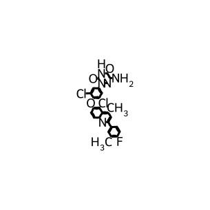 Cc1cc(-c2cc(C)c3cc(Oc4c(Cl)cc(-n5nc(N)c(=O)[nH]c5=O)cc4Cl)ccc3n2)ccc1F